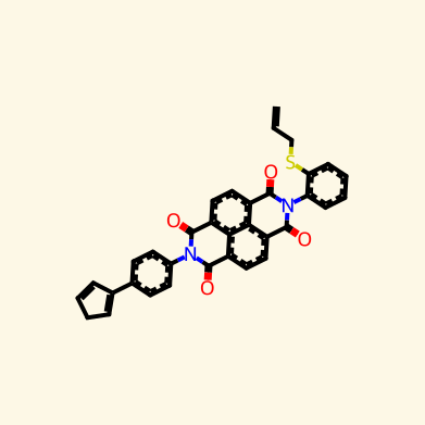 C=CCSc1ccccc1N1C(=O)c2ccc3c4c(ccc(c24)C1=O)C(=O)N(c1ccc(C2=CCC=C2)cc1)C3=O